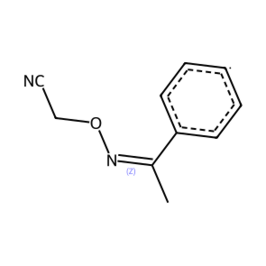 C/C(=N/OCC#N)c1cc[c]cc1